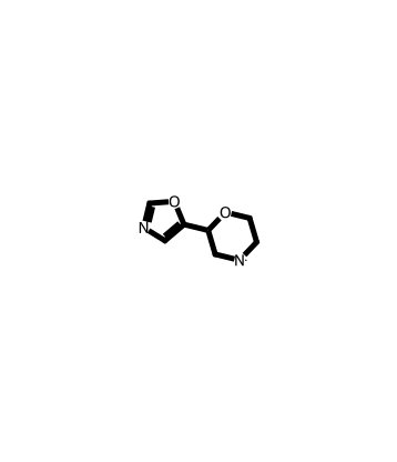 c1ncc(C2C[N]CCO2)o1